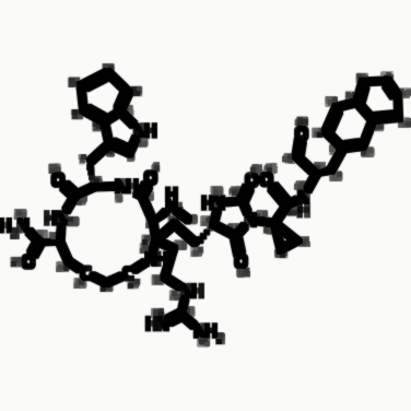 CN[C@@H]1C(=O)N[C@@H](Cc2c[nH]c3ccccc23)C(=O)N[C@H](C(N)=O)CCCCNC1(CCNC(=N)N)CC[C@@H]1NC(=O)N(C2(C(=O)N[C@@H](C=O)Cc3ccc4ccccc4c3)CC2)C1=O